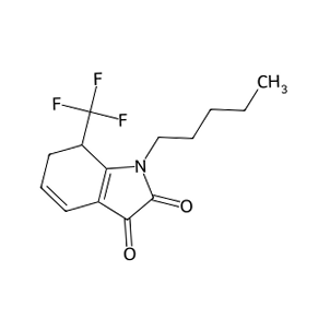 CCCCCN1C(=O)C(=O)C2=C1C(C(F)(F)F)CC=C2